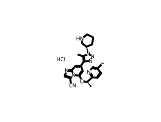 Cc1c(-c2cc(O[C@H](C)c3ccc(F)cn3)n3c(C#N)cnc3c2)nnn1[C@@H]1CCCNC1.Cl